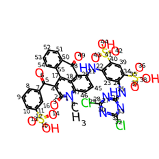 Cn1c(=O)c(C(=O)c2cccc(S(=O)(=O)O)c2)c2c3c(c(Nc4cc(Nc5nc(Cl)nc(Cl)n5)c(S(=O)(=O)O)cc4S(=O)(=O)O)ccc31)C(=O)c1ccccc1-2